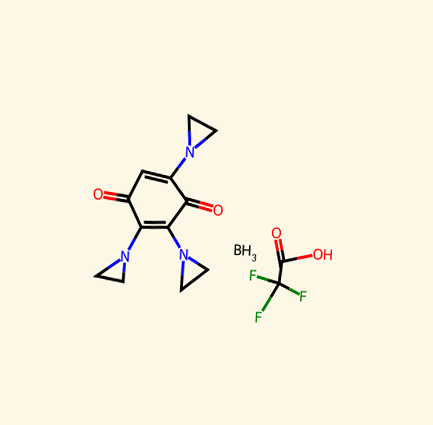 B.O=C(O)C(F)(F)F.O=C1C=C(N2CC2)C(=O)C(N2CC2)=C1N1CC1